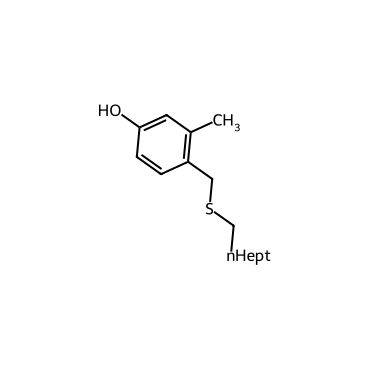 CCCCCCCCSCc1ccc(O)cc1C